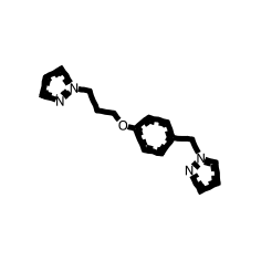 c1cnn(CCCOc2ccc(Cn3cccn3)cc2)c1